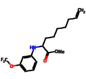 C=CCCCCCC(Nc1cccc(OC(F)(F)F)c1)C(=O)OC